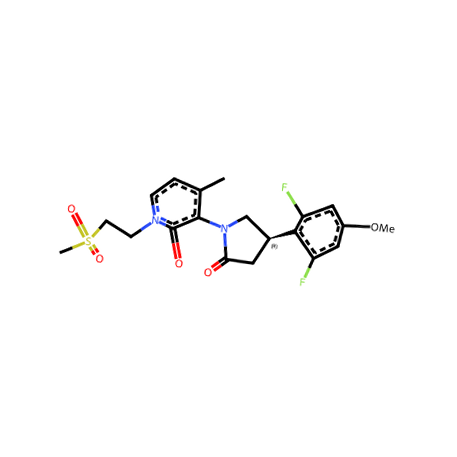 COc1cc(F)c([C@H]2CC(=O)N(c3c(C)ccn(CCS(C)(=O)=O)c3=O)C2)c(F)c1